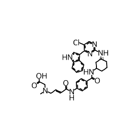 CN(CC=CC(=O)Nc1ccc(C(=O)NC2CCC[C@@H](Nc3ncc(Cl)c(-c4c[nH]c5ccccc45)n3)C2)cc1)CC(=O)O